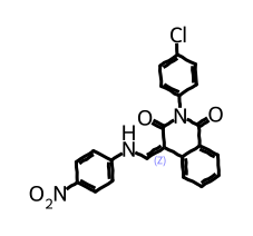 O=C1/C(=C\Nc2ccc([N+](=O)[O-])cc2)c2ccccc2C(=O)N1c1ccc(Cl)cc1